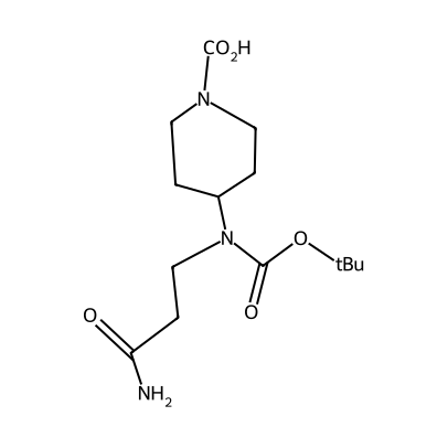 CC(C)(C)OC(=O)N(CCC(N)=O)C1CCN(C(=O)O)CC1